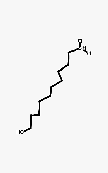 OCCCCCCCCCC[SiH](Cl)Cl